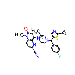 C[C@H]1CN(C(c2ccc(F)cc2)c2cnc(C3CC3)s2)CCN1c1cc(=O)n(C)c2ccc(C#N)nc12